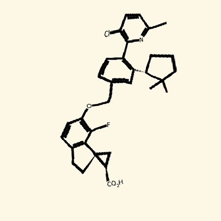 Cc1ccc(Cl)c(-c2ccc(COc3ccc4c(c3F)[C@]3(CC4)C[C@H]3C(=O)O)cc2[C@@H]2CCCC2(C)C)n1